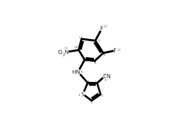 N#Cc1ccsc1Nc1cc(F)c(F)cc1[N+](=O)[O-]